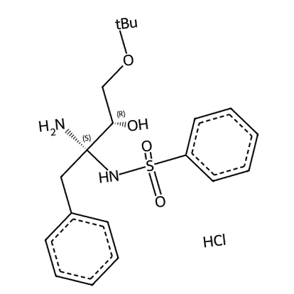 CC(C)(C)OC[C@H](O)[C@](N)(Cc1ccccc1)NS(=O)(=O)c1ccccc1.Cl